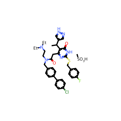 CCN(CC)CCN(Cc1ccc(-c2ccc(Cl)cc2)cc1)C(=O)Cc1nc(SCc2ccc(F)cc2)[nH]c(=O)c1C(C)c1cn[nH]c1.CS(=O)(=O)O